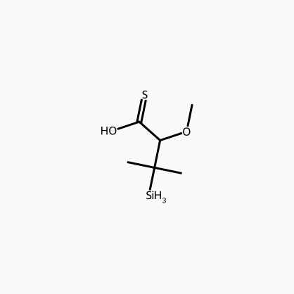 COC(C(O)=S)C(C)(C)[SiH3]